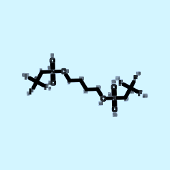 O=S(=O)(CC(F)(F)F)OCCCCOS(=O)(=O)CC(F)(F)F